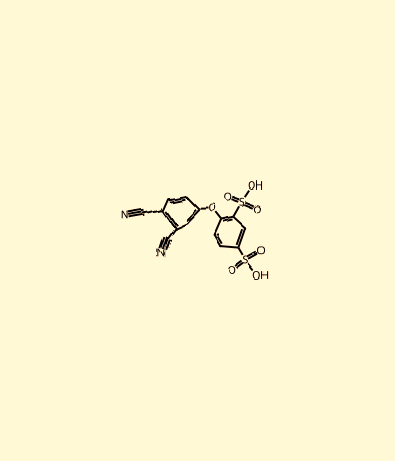 N#Cc1ccc(Oc2ccc(S(=O)(=O)O)cc2S(=O)(=O)O)cc1C#N